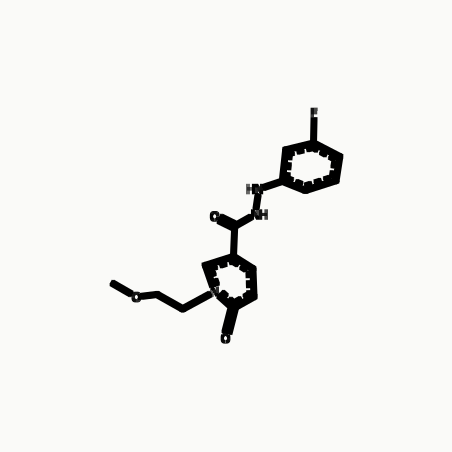 COCCn1cc(C(=O)NNc2cccc(F)c2)ccc1=O